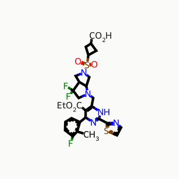 CCOC(=O)C1=C(CN2CC(F)(F)C3CN(S(=O)(=O)C4CC(C(=O)O)C4)CC32)NC(c2nccs2)=NC1c1cccc(F)c1C